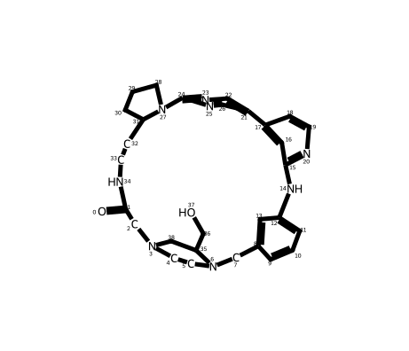 O=C1CN2CCN(Cc3cccc(c3)Nc3cc(ccn3)-c3cnc(nc3)N3CCCC3CCN1)C(CO)C2